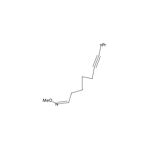 [CH2]CCC#CCCCC/C=N\OC